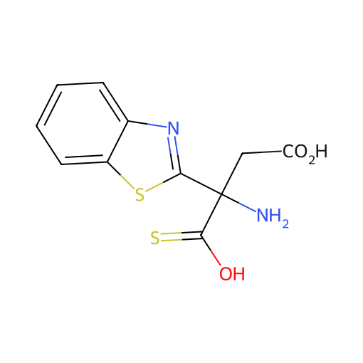 NC(CC(=O)O)(C(O)=S)c1nc2ccccc2s1